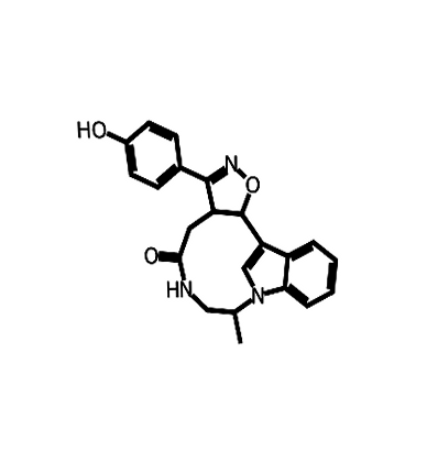 CC1CNC(=O)CC2C(c3ccc(O)cc3)=NOC2c2cn1c1ccccc21